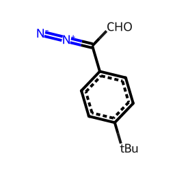 CC(C)(C)c1ccc(C(C=O)=[N+]=[N-])cc1